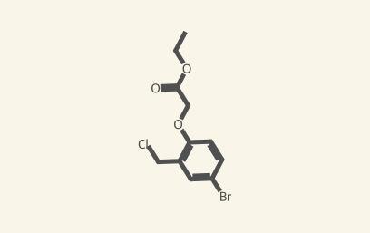 CCOC(=O)COc1ccc(Br)cc1CCl